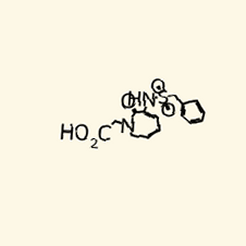 O=C(O)CN1CC=CC=C(NS(=O)(=O)Cc2ccccc2)C1=O